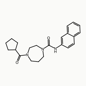 O=C(Nc1ccc2ccccc2c1)N1CCCN(C(=O)C2CCCC2)CC1